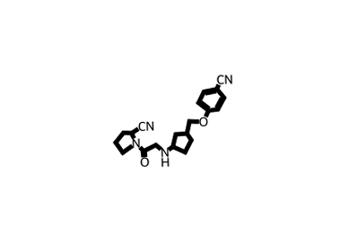 N#Cc1ccc(OCC2CCC(NCC(=O)N3CCCC3C#N)C2)cc1